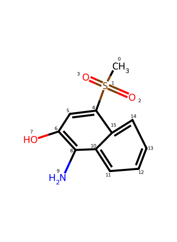 CS(=O)(=O)c1cc(O)c(N)c2ccccc12